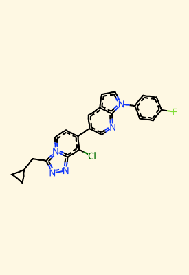 Fc1ccc(-n2ccc3cc(-c4ccn5c(CC6CC6)nnc5c4Cl)cnc32)cc1